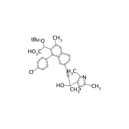 Cc1nc(C)c(C(C)(O)C#Cc2ccc3cc(C)c(C(OC(C)(C)C)C(=O)O)c(-c4ccc(Cl)cc4)c3c2)s1